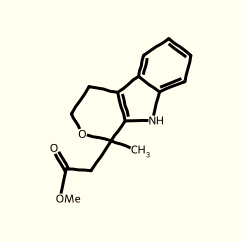 COC(=O)CC1(C)OCCc2c1[nH]c1ccccc21